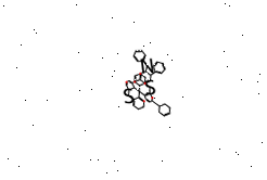 C1=CC2SC3=CCCC=C3C3(C4=C(CC(C5CC=CCC5)C=C4)SC4CCC=CC43)C2C(C2=CC3C(C=C2)c2ccccc2N3c2ccccc2)=C1